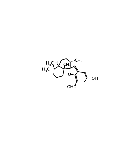 C[C@H]1CC[C@H]2C(C)(C)CCCC2(C)[C@]12C=C1C=C(O)CC(C=O)=C1O2